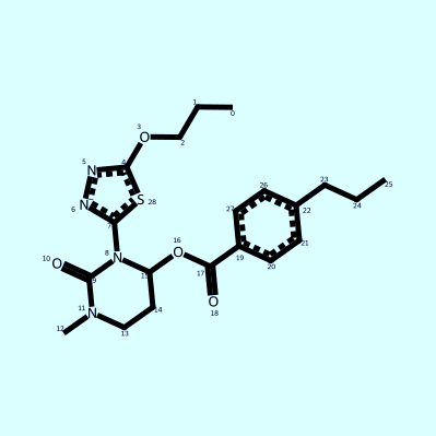 CCCOc1nnc(N2C(=O)N(C)CCC2OC(=O)c2ccc(CCC)cc2)s1